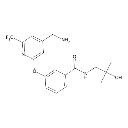 CC(C)(O)CNC(=O)c1cccc(Oc2cc(CN)cc(C(F)(F)F)n2)c1